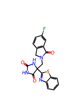 O=C1NC(=O)C(CN2Cc3ccc(F)cc3C2=O)(c2nc3ccccc3s2)N1